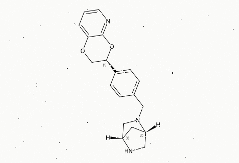 c1cnc2c(c1)OC[C@H](c1ccc(CN3C[C@@H]4C[C@H]3CN4)cc1)O2